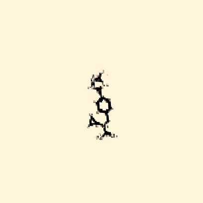 CC(C)(C)C(=O)N(Cc1ccc(-c2noc(C(F)(F)F)n2)cc1)C1CC1